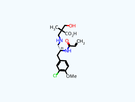 C=CC(=O)N[C@@H](CNCC(C)(CO)C(=O)O)Cc1ccc(OC)c(Cl)c1